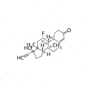 C#C[C@]1(O)CC[C@H]2[C@@H]3CCC4=CC(=O)CC[C@]4(C)[C@H]3[C@@H](F)C[C@@]21C